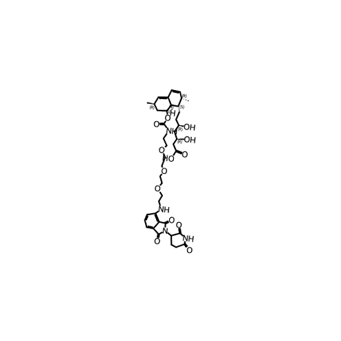 C[C@H]1C=C2C=C[C@H](C)[C@H](CC[C@@H](O)C[C@@H](O)CC(=O)O)[C@H]2[C@@H](OC(=O)NCCOCCOCCOCCNc2cccc3c2C(=O)N(C2CCC(=O)NC2=O)C3=O)C1